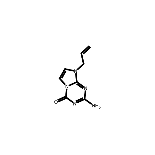 C=CCn1ccn2c(=O)nc(N)nc12